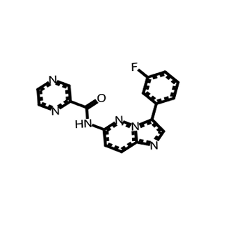 O=C(Nc1ccc2ncc(-c3cccc(F)c3)n2n1)c1cnccn1